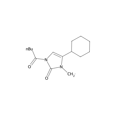 [CH2]n1c(C2CCCCC2)cn(C(=O)CCCC)c1=O